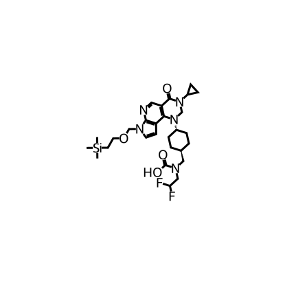 C[Si](C)(C)CCOCn1ccc2c3c(cnc21)C(=O)N(C1CC1)CN3[C@H]1CC[C@H](CN(CC(F)F)C(=O)O)CC1